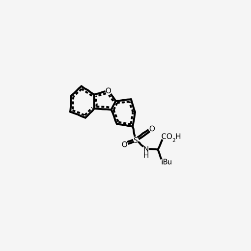 CCC(C)C(NS(=O)(=O)c1ccc2oc3ccccc3c2c1)C(=O)O